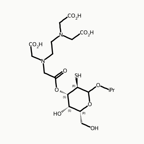 CC(C)OC1O[C@H](CO)[C@H](O)[C@H](OC(=O)CN(CCN(CC(=O)O)CC(=O)O)CC(=O)O)[C@H]1S